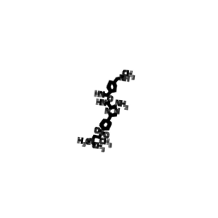 CNCc1ccc(C(=N)OC(=N)c2nc(-c3ccc(S(=O)(=O)C(C)CN(C)C)cc3)cnc2N)cc1